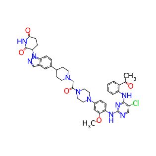 COc1cc(N2CCN(C(=O)CN3CCC(c4ccc5c(cnn5C5CCC(=O)NC5=O)c4)CC3)CC2)ccc1Nc1ncc(Cl)c(Nc2ccccc2C(C)=O)n1